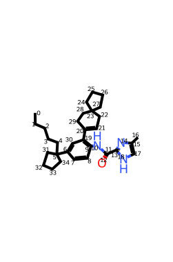 CCCCCC1(c2ccc(NC(=O)c3nc(C)c[nH]3)c(C3=CCC4(CCCC4)CC3)c2)CCCC1